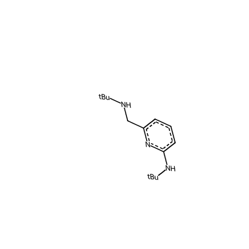 CC(C)(C)NCc1cccc(NC(C)(C)C)n1